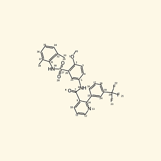 COc1ccc(NC(=O)c2cccnc2-c2cccc(C(F)(F)F)c2)cc1S(=O)(=O)Nc1c(C)cccc1C